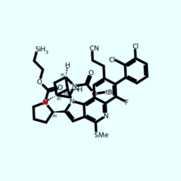 CSc1nc2c(F)c(-c3cccc(Cl)c3Cl)c(CCC#N)cc2c2c1cc([C@H]1CCCN1C(=O)OCC[SiH3])n2[C@H]1[C@@H]2C[C@H]1N(C(=O)OC(C)(C)C)C2